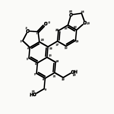 O=C1OCc2cc3cc(CO)c(CO)cc3c(-c3ccc4c(c3)OCO4)c21